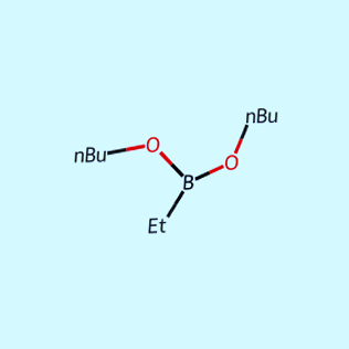 CCCCOB(CC)OCCCC